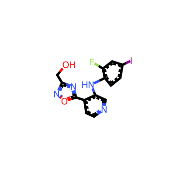 OCc1noc(-c2ccncc2Nc2ccc(I)cc2F)n1